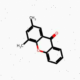 Cc1cc(C)c2oc3ccccc3c(=O)c2c1